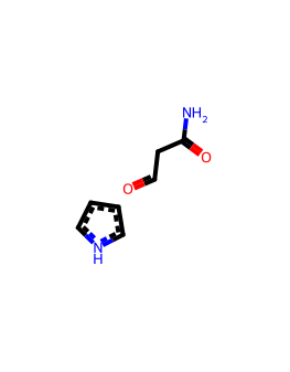 NC(=O)CC=O.c1cc[nH]c1